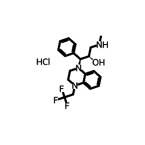 CNC[C@H](O)[C@H](c1ccccc1)N1CCN(CC(F)(F)F)c2ccccc21.Cl